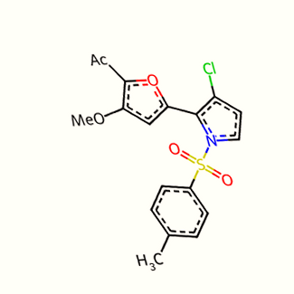 COc1cc(-c2c(Cl)ccn2S(=O)(=O)c2ccc(C)cc2)oc1C(C)=O